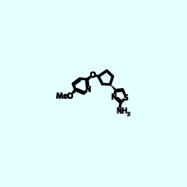 COc1ccc(O[C@H]2CC[C@H](c3csc(N)n3)C2)nc1